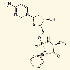 CC(C)COC(=O)[C@H](C)NP(=O)(OC[C@H]1S[C@@H](N2C=CC(N)=NC2)C[C@H]1O)Oc1ccccc1